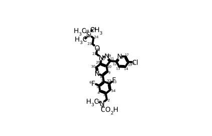 CN(Cc1cc(F)c(-c2cc3c(-c4ccc(Cl)cn4)nn(COCC[Si](C)(C)C)c3cn2)c(F)c1)C(=O)O